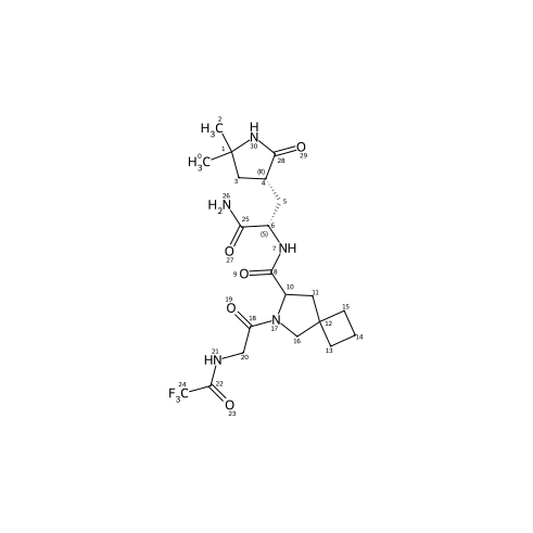 CC1(C)C[C@@H](C[C@H](NC(=O)C2CC3(CCC3)CN2C(=O)CNC(=O)C(F)(F)F)C(N)=O)C(=O)N1